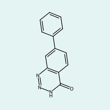 O=c1[nH]nnc2cc(-c3ccccc3)ccc12